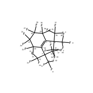 FC(F)(F)C(C1=C(C(C(F)(F)F)(C(F)(F)F)C(F)(F)F)C(F)(F)C(F)(F)C(F)(F)C1(F)F)(C(F)(F)F)C(F)(F)F